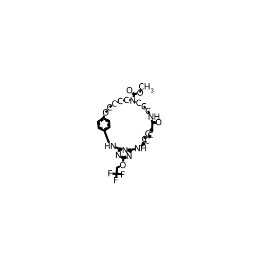 COC(=O)N1CCCCOc2ccc(cc2)CNc2nc(nc(OCC(F)(F)F)n2)Nc2ccc(cc2)C(=O)NCCC1